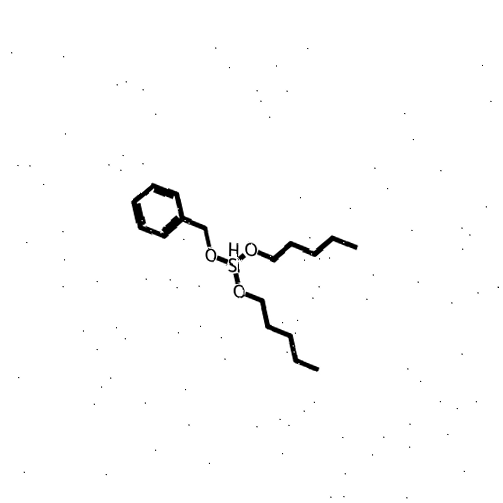 CCCCCO[SiH](OCCCCC)OCc1ccccc1